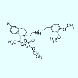 COCC(=O)O[C@]1(CCNCCCc2ccc(OC)c(OC)c2)CCc2cc(F)ccc2[C@@H]1C(C)C.Cl